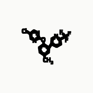 Cc1ccc(Oc2ncc(Cl)cn2)c(-c2ccc(C(F)(F)F)nc2)c1